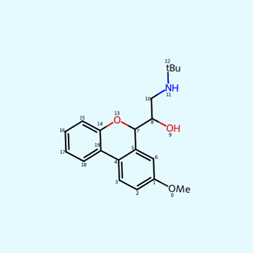 COc1ccc2c(c1)C(C(O)CNC(C)(C)C)Oc1ccccc1-2